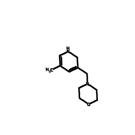 CC1=CNCC(CN2CCOCC2)=C1